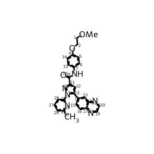 COCCOc1ccc(NC(=O)c2cc(-c3ccc4nccnc4c3)n(-c3cccc(C)n3)n2)cc1